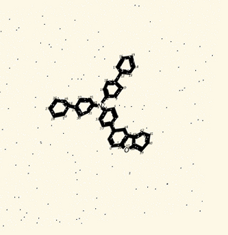 C1=CC(c2ccc(N(c3ccc(-c4ccccc4)cc3)c3ccc(-c4ccccc4)cc3)cc2)Cc2c1oc1ccccc21